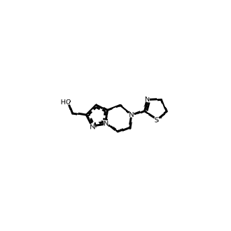 OCc1cc2n(n1)CCN(C1=NCCS1)C2